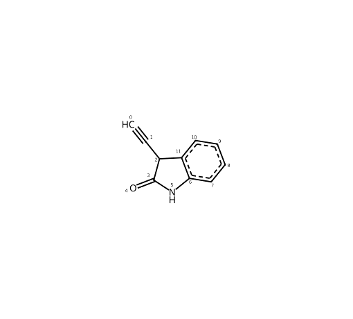 C#CC1C(=O)Nc2ccccc21